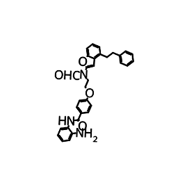 Nc1ccccc1NC(=O)c1ccc(OCCN(C=O)c2cc3c(CCc4ccccc4)cccc3o2)cc1